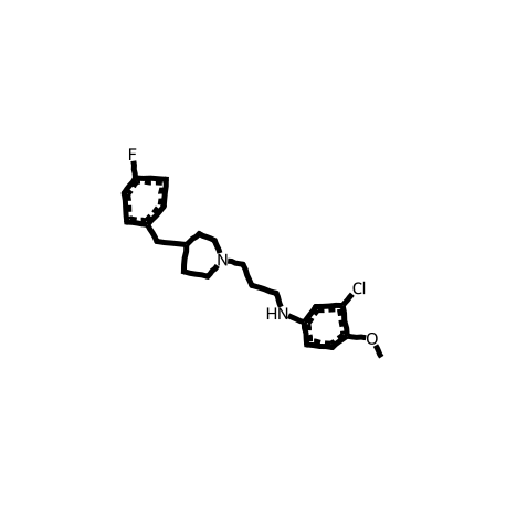 COc1ccc(NCCCN2CCC(Cc3ccc(F)cc3)CC2)cc1Cl